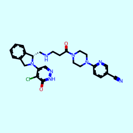 N#Cc1ccc(N2CCN(C(=O)CCNC[C@H]3c4ccccc4CN3c3cn[nH]c(=O)c3Cl)CC2)nc1